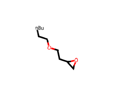 CCCCCCOCCC1CO1